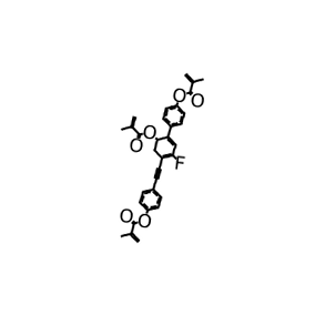 C=C(C)C(=O)Oc1ccc(C#CC2=C(F)C=C(c3ccc(OC(=O)C(=C)C)cc3)C(OC(=O)C(=C)C)C2)cc1